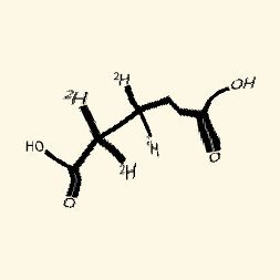 [2H]C([2H])(CC(=O)O)C([2H])([2H])C(=O)O